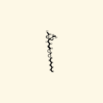 CCCCCCCOCOC=CCCC(OCC)OCC